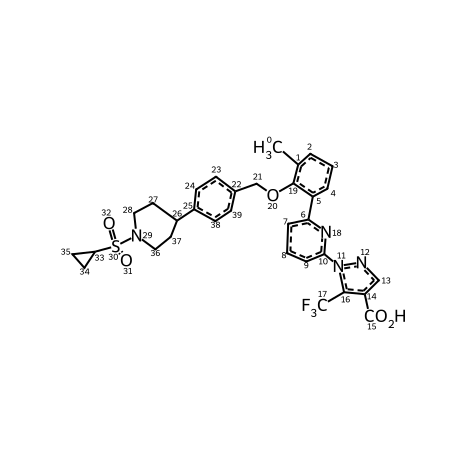 Cc1cccc(-c2cccc(-n3ncc(C(=O)O)c3C(F)(F)F)n2)c1OCc1ccc(C2CCN(S(=O)(=O)C3CC3)CC2)cc1